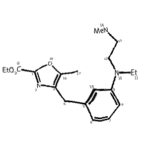 CCOC(=O)c1nc(Cc2cccc(N(CC)CCNC)c2)c(C)o1